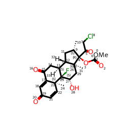 COC(=O)O[C@]1(C(=O)CCl)[C@@H](C)C[C@H]2[C@@H]3CC(=O)C4=CC(=O)C=C[C@]4(C)[C@@]3(F)[C@@H](O)C[C@@]21C